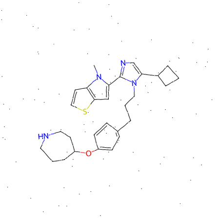 Cn1c(-c2ncc(C3CCC3)n2CCCc2ccc(OC3CCCNCC3)cc2)cc2sccc21